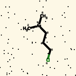 C[As](C)CCCCl